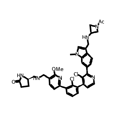 COc1nc(-c2cccc(-c3ccnc(-c4ccc5c(CNC6CN(C(C)=O)C6)cn(C)c5c4)c3Cl)c2Cl)ccc1CNC[C@H]1CCC(=O)N1